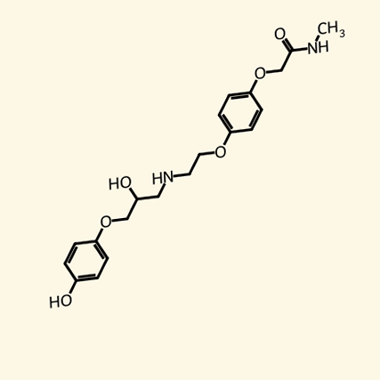 CNC(=O)COc1ccc(OCCNCC(O)COc2ccc(O)cc2)cc1